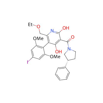 CCOCc1nc(O)c(C(=O)N2CC[C@H](c3ccccc3)C2)c(O)c1-c1c(OC)cc(I)cc1OC